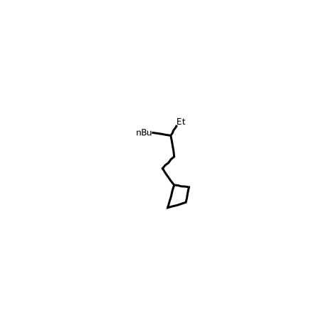 [CH2]CC(CCCC)CCC1CCC1